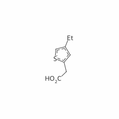 CCc1csc(CC(=O)O)c1